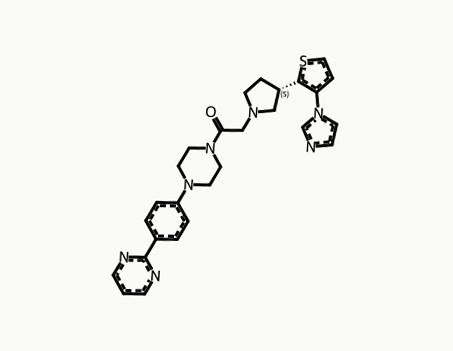 O=C(CN1CC[C@H](c2sccc2-n2ccnc2)C1)N1CCN(c2ccc(-c3ncccn3)cc2)CC1